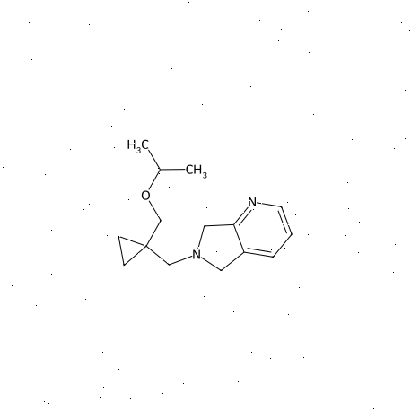 CC(C)OCC1(CN2Cc3cccnc3C2)CC1